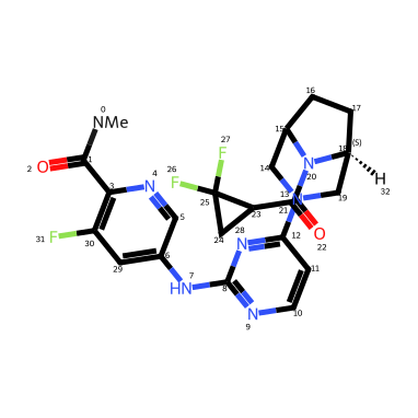 CNC(=O)c1ncc(Nc2nccc(N3CC4CC[C@@H](C3)N4C(=O)C3CC3(F)F)n2)cc1F